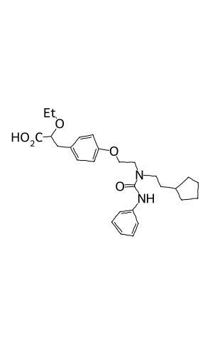 CCOC(Cc1ccc(OCCN(CCC2CCCC2)C(=O)Nc2ccccc2)cc1)C(=O)O